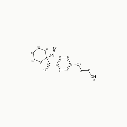 O=NC1(C(=O)c2ccc(OCCO)cc2)CCCCC1